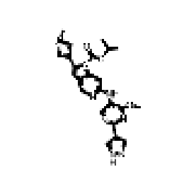 COc1nc(-c2cn[nH]c2)ncc1Nc1cc2c(cn1)cc(-c1cnn(C)c1)n2C(=O)OC(C)C